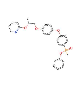 CC(COc1ccc(Oc2ccc(P(C)(=O)Oc3ccccc3)cc2)cc1)Oc1ccccn1